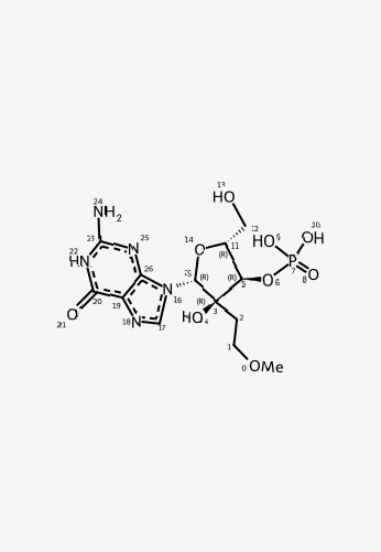 COCC[C@@]1(O)[C@H](OP(=O)(O)O)[C@@H](CO)O[C@H]1n1cnc2c(=O)[nH]c(N)nc21